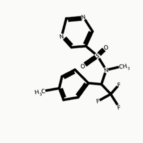 Cc1ccc(C(N(C)S(=O)(=O)c2cncnc2)C(F)(F)F)cc1